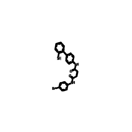 O=C(/C=C\C(=O)Nc1ccc(-c2ccccc2S)cc1)Nc1ccc(Br)cc1